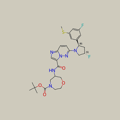 CSc1cc(F)cc([C@H]2C[C@H](F)CN2c2ccc3ncc(C(=O)NC4COCCN(C(=O)OC(C)(C)C)C4)n3n2)c1